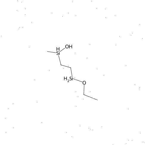 CCO[SiH2]CC[SiH](C)O